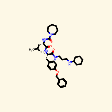 CC(C)C[C@H](NC(=O)N1CCCCCC1)C(=O)N[C@@H](Cc1ccc(OCc2ccccc2)cc1)C(=O)NCCCNC1CCCCC1